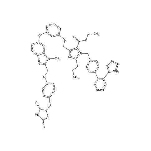 CCCc1nc(CSc2cccc(Oc3ccc4nc(COc5ccc(CC6SC(=O)NC6=O)cc5)n(C)c4c3)c2)c(C(=O)OCC)n1Cc1ccc(-c2ccccc2-c2nnn[nH]2)cc1